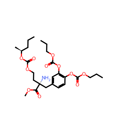 CCCOC(=O)Oc1ccc(C[C@](N)(CCOC(=O)O[C@@H](C)CCC)C(=O)OC)cc1OC(=O)OCCC